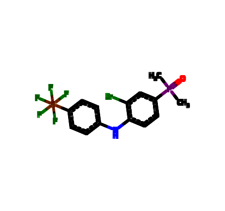 CP(C)(=O)c1ccc(Nc2ccc(S(F)(F)(F)(F)F)cc2)c(Br)c1